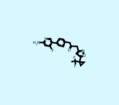 CC(F)(F)C1(c2cc(CC(=O)Cc3ccc(-c4cnc(N)cc4F)cc3)no2)CC1